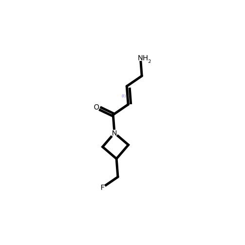 NC/C=C/C(=O)N1CC(CF)C1